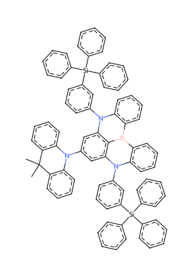 CC1(C)c2ccccc2N(c2cc3c4c(c2)N(c2cccc([Si](c5ccccc5)(c5ccccc5)c5ccccc5)c2)c2ccccc2B4c2ccccc2N3c2cccc([Si](c3ccccc3)(c3ccccc3)c3ccccc3)c2)c2ccccc21